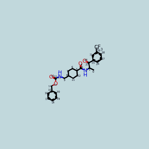 CC(NC(=O)C1CCC(CNC(=O)OCc2ccccc2)CC1)C(=O)c1cccc(C(F)(F)F)c1